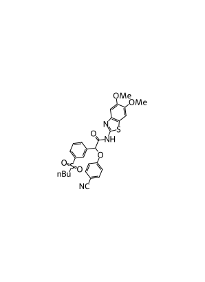 CCCCS(=O)(=O)c1cccc(C(Oc2ccc(C#N)cc2)C(=O)Nc2nc3cc(OC)c(OC)cc3s2)c1